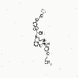 CCCCOc1ccc(NC(=O)NCCN(Cc2ccccc2)CC(O)c2cc3cc(OCCOC4CCCC4)ccc3o2)cc1